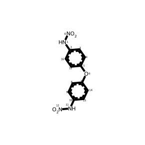 O=[N+]([O-])Nc1ccc(Oc2ccc(N[N+](=O)[O-])cc2)cc1